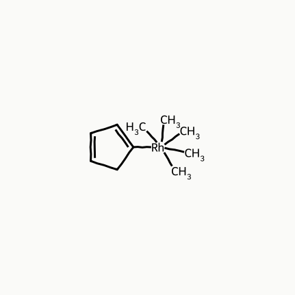 [CH3][Rh]([CH3])([CH3])([CH3])([CH3])[C]1=CC=CC1